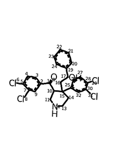 O=C(c1ccc(Cl)c(Cl)c1)C1CNCCC1(CC(O)c1ccccc1)c1ccc(Cl)c(Cl)c1